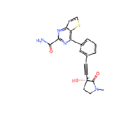 CN1CC[C@@](O)(C#Cc2cccc(-c3nc(C(N)=O)nc4ccsc34)c2)C1=O